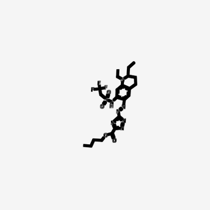 CCCCOC(=O)c1nnc(N=Nc2cc3c(cc2NS(=O)(=O)CC(F)(F)F)N(CC)C(CC)CC3)s1